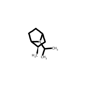 CC(C)N1C2CCC1[C@H](C)C2